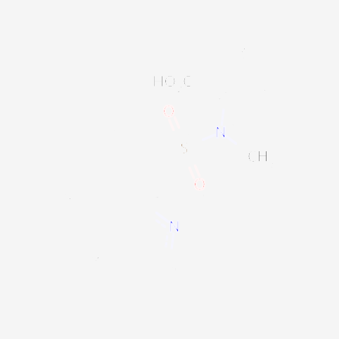 CN(C1(C(=O)O)CC1)S(=O)(=O)c1cccc2cccnc12